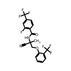 CC(C#N)(COc1ccccc1C(F)(F)F)NC(=O)c1ccc(C(F)(F)F)cc1F